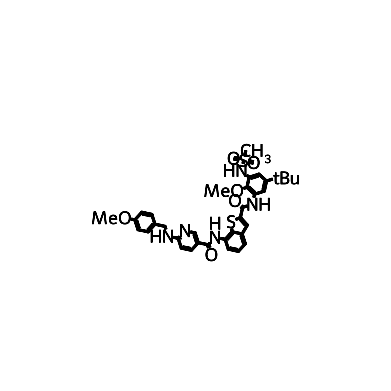 COc1ccc(CNc2ccc(C(=O)Nc3cccc4cc(C(=O)Nc5cc(C(C)(C)C)cc(NS(C)(=O)=O)c5OC)sc34)cn2)cc1